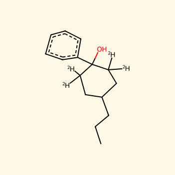 [2H]C1([2H])CC(CCC)CC([2H])([2H])C1(O)c1ccccc1